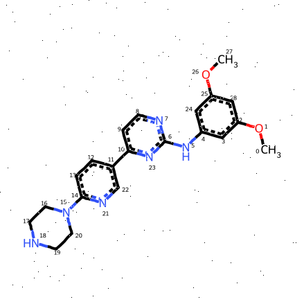 COc1cc(Nc2nccc(-c3ccc(N4CCNCC4)nc3)n2)cc(OC)c1